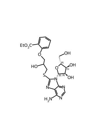 CCOC(=O)c1ccccc1OCC(O)CSc1nc2c(N)ncnc2n1[C@@H]1O[C@H](CO)[C@@H](O)[C@H]1O